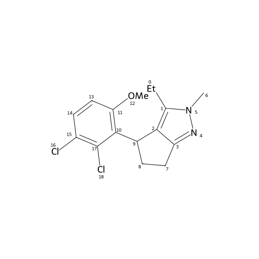 CCc1c2c(nn1C)CCC2c1c(OC)ccc(Cl)c1Cl